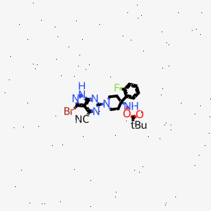 CC(C)(C)C(=O)ONC1(c2ccccc2F)CCN(c2nc(C#N)c3c(Br)n[nH]c3n2)CC1